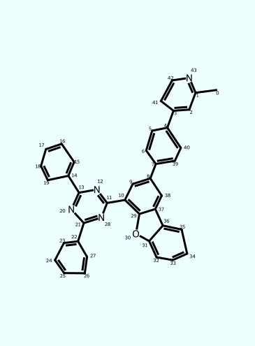 Cc1cc(-c2ccc(-c3cc(-c4nc(-c5ccccc5)nc(-c5ccccc5)n4)c4oc5ccccc5c4c3)cc2)ccn1